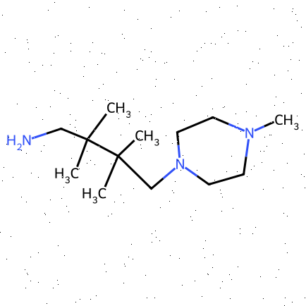 CN1CCN(CC(C)(C)C(C)(C)CN)CC1